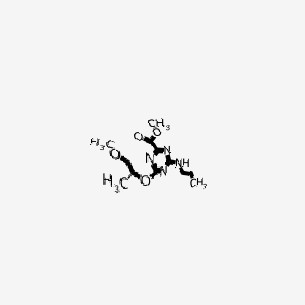 CCCNc1nc(O[C@H](C)COC)nc(C(=O)OC)n1